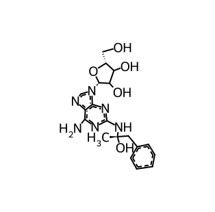 C[C@](O)(Cc1ccccc1)Nc1nc(N)c2ncn([C@@H]3O[C@H](CO)C(O)C3O)c2n1